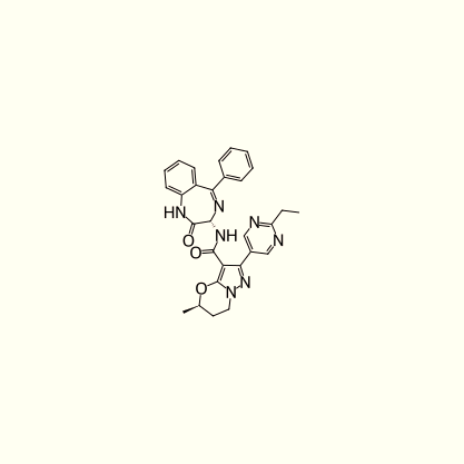 CCc1ncc(-c2nn3c(c2C(=O)N[C@H]2N=C(c4ccccc4)c4ccccc4NC2=O)O[C@H](C)CC3)cn1